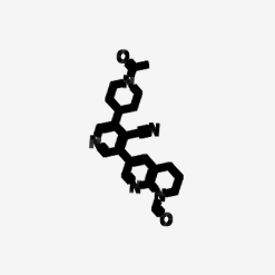 CC(=O)N1CCC(c2cncc(-c3cnc4c(c3)CCCN4C=O)c2C#N)CC1